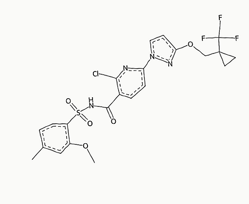 COc1cc(C)ccc1S(=O)(=O)NC(=O)c1ccc(-n2ccc(OCC3(C(F)(F)F)CC3)n2)nc1Cl